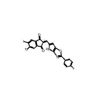 O=C1/C(=C\c2cc3oc(-c4ccc(F)cc4)nc3[nH]2)C(=O)c2cc(I)c(Cl)cc21